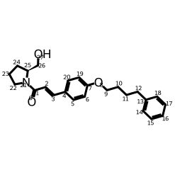 O=C(/C=C/c1ccc(OCCCCc2ccccc2)cc1)N1CCC[C@H]1CO